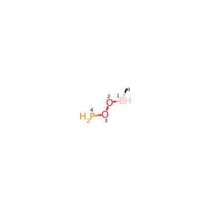 CBOOP